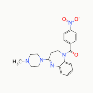 CN1CCN(C2=Nc3ccccc3N(C(=O)c3ccc([N+](=O)[O-])cc3)CC2)CC1